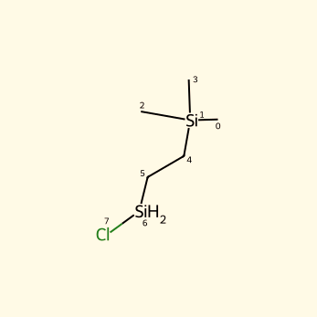 C[Si](C)(C)CC[SiH2]Cl